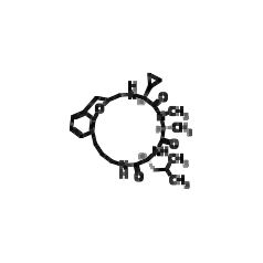 CC(C)C[C@H]1NC(=O)[C@@H](C)N(C)C(=O)[C@H](C2CC2)NCC2Cc3cccc(c3O2)CCCNC1=O